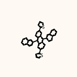 c1csc(-c2ccc3c(-c4ccc5ccccc5c4)c4cc(-c5cccs5)ccc4c(-c4ccc5ccccc5c4)c3c2)c1